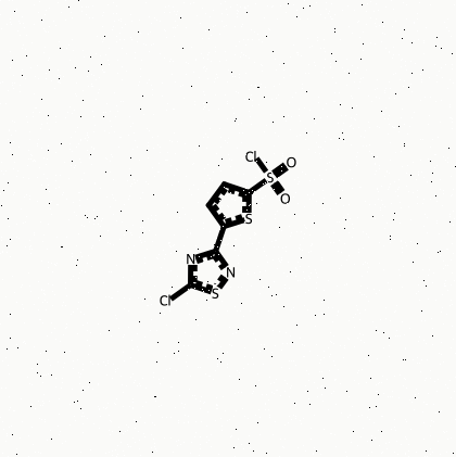 O=S(=O)(Cl)c1ccc(-c2nsc(Cl)n2)s1